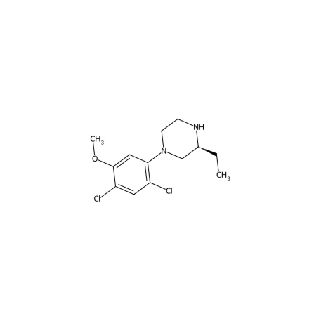 CC[C@H]1CN(c2cc(OC)c(Cl)cc2Cl)CCN1